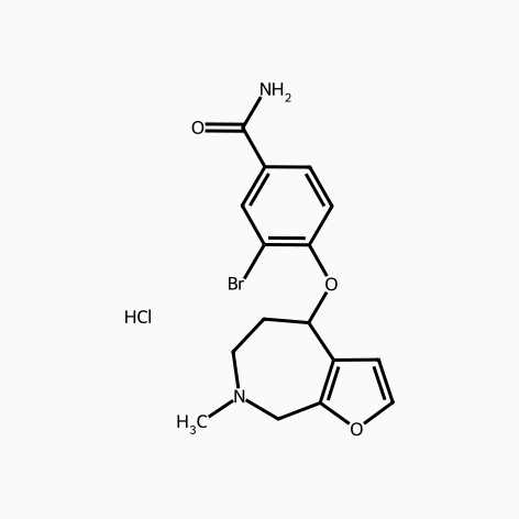 CN1CCC(Oc2ccc(C(N)=O)cc2Br)c2ccoc2C1.Cl